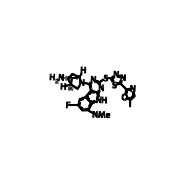 CNc1cc(F)cc2c1[nH]c1nc(Sc3nnc(-c4ncc(C)o4)s3)nc(N3C[C@H]4C[C@@H]3C[C@H]4N)c12